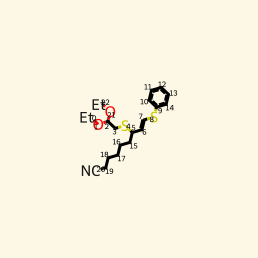 CCOC(CSC(C=CSc1ccccc1)CCCCCC#N)OCC